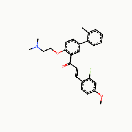 COc1ccc(C=CC(=O)c2cc(-c3ccccc3C)ccc2OCCN(C)C)c(F)c1